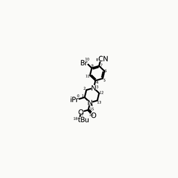 CC(C)C1CN(c2ccc(C#N)c(Br)c2)CCN1C(=O)OC(C)(C)C